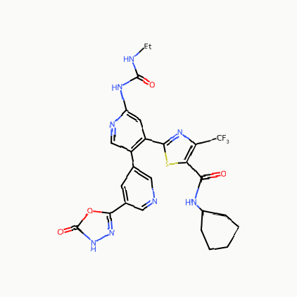 CCNC(=O)Nc1cc(-c2nc(C(F)(F)F)c(C(=O)NC3CCCCC3)s2)c(-c2cncc(-c3n[nH]c(=O)o3)c2)cn1